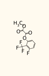 COC(=O)C(=O)Oc1cccc(F)c1C(F)(F)F